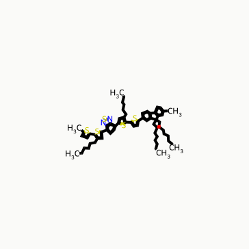 CCCCCCCCC1(CCCCCCCC)c2cc(C)ccc2-c2ccc(-c3ccc(-c4sc(-c5ccc(-c6cc(CCCCCC)c(-c7ccc(C)s7)s6)c6nsnc56)cc4CCCCCC)s3)cc21